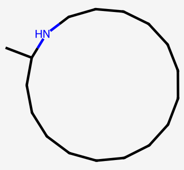 CC1CCCCCCCCCCCCCCCN1